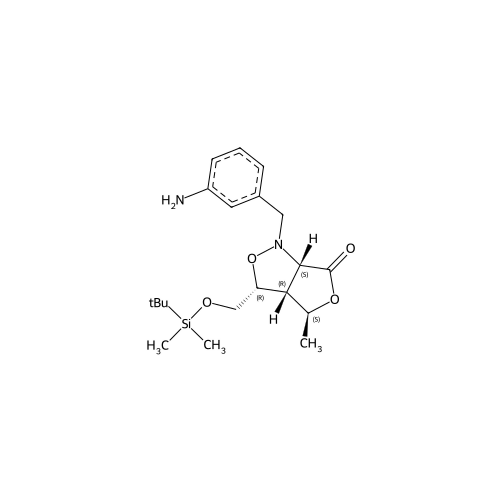 C[C@@H]1OC(=O)[C@@H]2[C@H]1[C@H](CO[Si](C)(C)C(C)(C)C)ON2Cc1cccc(N)c1